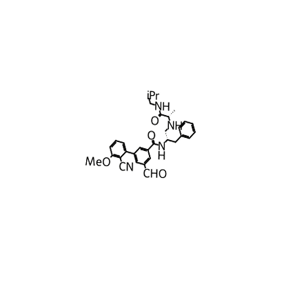 COc1cccc(-c2cc(C=O)cc(C(=O)N[C@H](CN[C@@H](C)C(=O)NCC(C)C)Cc3ccccc3)c2)c1C#N